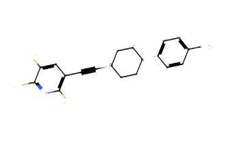 CCCCc1ccc([C@H]2CC[C@H](C#Cc3cc(F)c(F)nc3F)CC2)cc1